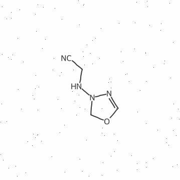 N#CCNN1COC=N1